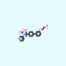 COCCOc1cccc(-c2ccc(C(C)(C)N(C(=O)O)C3CN4CCC3CC4)cc2)c1